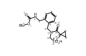 CC(C)(C)OC(=O)NCc1ccccc1CN(CC(=O)O)C(=O)C1(C(F)(F)F)CC1